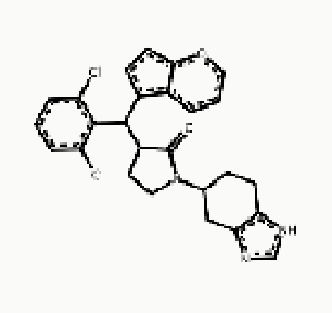 O=C1C(C(c2ccc3occcc2-3)c2c(Cl)cccc2Cl)CCN1C1CCc2[nH]cnc2C1